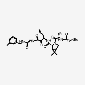 C=CCC(NC(=O)[C@@H]1C2C(CN1C(=O)[C@@H](NC(=O)OC(C)(C)C)C(C)(C)C)C2(C)C)C(=O)C(=O)NCC(=O)NCc1cccc(C)c1